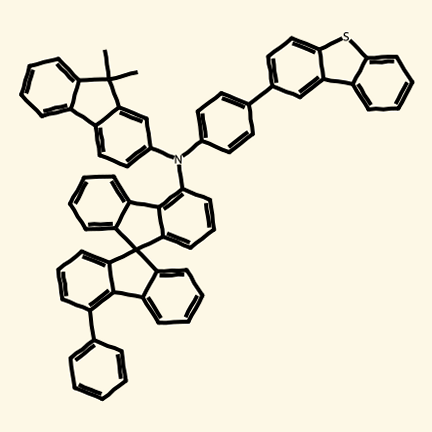 CC1(C)c2ccccc2-c2ccc(N(c3ccc(-c4ccc5sc6ccccc6c5c4)cc3)c3cccc4c3-c3ccccc3C43c4ccccc4-c4c(-c5ccccc5)cccc43)cc21